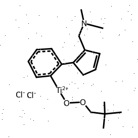 CN(C)CC1=C(c2cccc[c]2[Ti+2][O]OCC(C)(C)C)CC=C1.[Cl-].[Cl-]